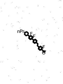 CCCC1CCC(c2ccc(-c3ccc(CCc4ccc(C5CO5)c(F)c4)cc3)c(F)c2F)CC1